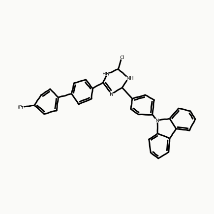 CC(C)c1ccc(-c2ccc(C3=NC(c4ccc(-n5c6ccccc6c6ccccc65)cc4)NC(Cl)N3)cc2)cc1